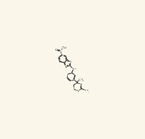 CC1(C2=CC(Nc3nc4cc([N+](=O)O)ccc4s3)CC=C2)CCSC(N)=N1